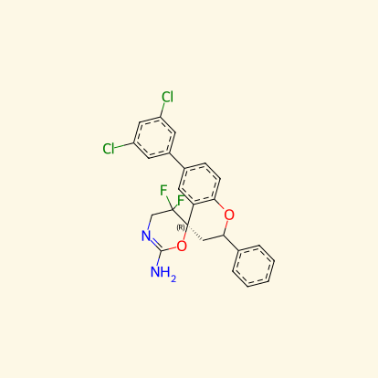 NC1=NCC(F)(F)[C@]2(CC(c3ccccc3)Oc3ccc(-c4cc(Cl)cc(Cl)c4)cc32)O1